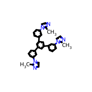 Cc1nccn1-c1cccc(-c2cc(-c3cccc(-n4ccnc4C)c3)cc(-c3cccc(-n4ccnc4C)c3)c2)c1